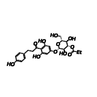 CCC(=O)O[C@@H]1[C@@H](O)[C@H](Oc2cc(O)c(C(=O)CCc3ccc(O)cc3)c(O)c2)O[C@H](CO)[C@H]1O